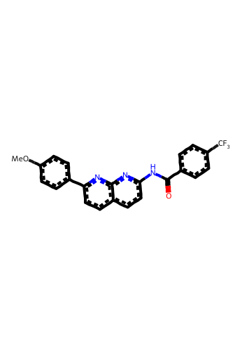 COc1ccc(-c2ccc3ccc(NC(=O)c4ccc(C(F)(F)F)cc4)nc3n2)cc1